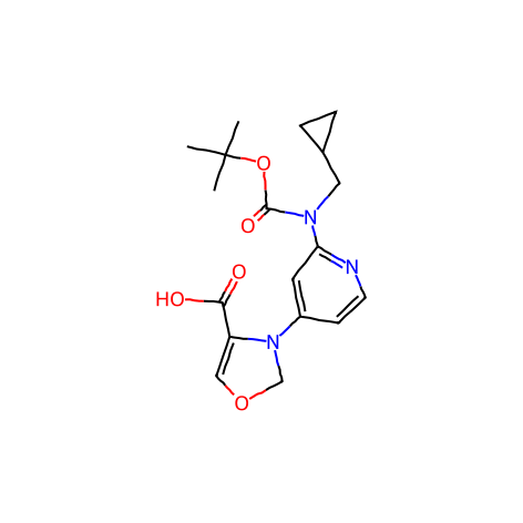 CC(C)(C)OC(=O)N(CC1CC1)c1cc(N2COC=C2C(=O)O)ccn1